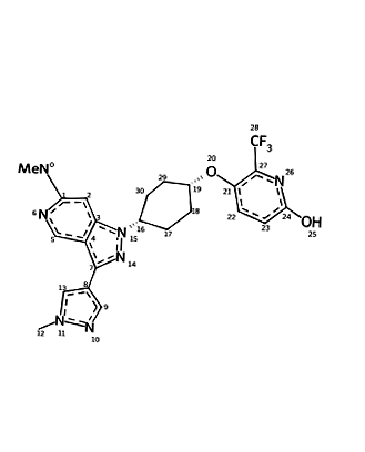 CNc1cc2c(cn1)c(-c1cnn(C)c1)nn2[C@H]1CC[C@@H](Oc2ccc(O)nc2C(F)(F)F)CC1